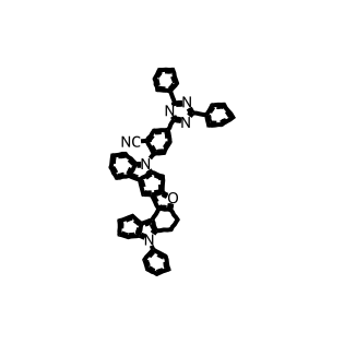 N#Cc1cc(-c2nc(-c3ccccc3)nc(-c3ccccc3)n2)ccc1-n1c2ccccc2c2cc3c4c(oc3cc21)CCc1c-4c2ccccc2n1-c1ccccc1